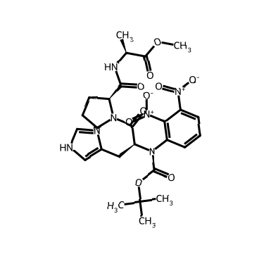 COC(=O)[C@H](C)NC(=O)[C@@H]1CCCN1C(=O)[C@H](Cc1c[nH]cn1)N(C(=O)OC(C)(C)C)c1cccc([N+](=O)[O-])c1[N+](=O)[O-]